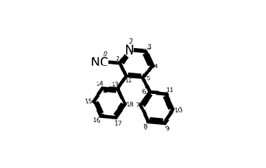 N#Cc1nccc(-c2ccccc2)c1-c1ccccc1